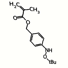 C=C(C)C(=O)OCc1ccc(NOC(C)(C)C)cc1